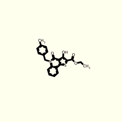 CCOC(=O)c1sc2c(c1O)c(=O)n(Cc1ccc(C)cc1)c1ccccc21